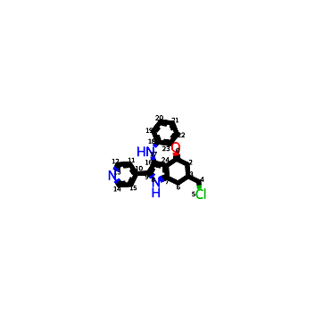 O=C1CC(CCl)Cc2[nH]c(-c3ccncc3)c(Nc3ccccc3)c21